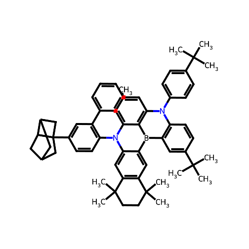 Cc1cc2c3c(c1)N(c1ccc(C45CC6CC(C4)C5C6)cc1-c1ccccc1)c1cc4c(cc1B3c1cc(C(C)(C)C)ccc1N2c1ccc(C(C)(C)C)cc1)C(C)(C)CCC4(C)C